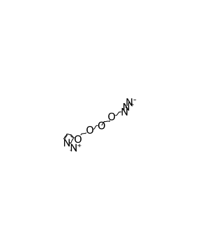 C[N+](C)(C)c1ncccc1OCCOCCOCCOCCN=[N+]=[N-]